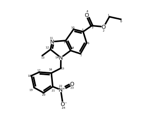 CCOC(=O)c1ccc2c(c1)nc(C)n2Cc1ccccc1[N+](=O)[O-]